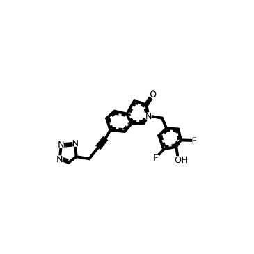 O=c1cc2ccc(C#CCC3C=NN=N3)cc2cn1Cc1cc(F)c(O)c(F)c1